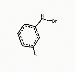 Fc1cccc(NBr)c1